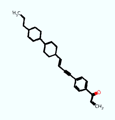 C=CC(=O)c1ccc(C#CC=CC2CCC(C3CCC(CCC)CC3)CC2)cc1